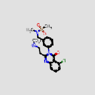 CN(Cc1cccc(-n2c(CCNC(=O)O)nc3cccc(Cl)c3c2=O)c1)S(C)(=O)=O